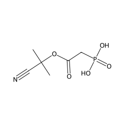 CC(C)(C#N)OC(=O)CP(=O)(O)O